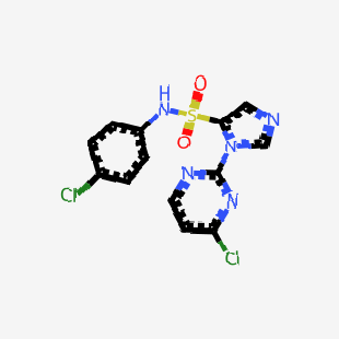 O=S(=O)(Nc1ccc(Cl)cc1)c1cncn1-c1nccc(Cl)n1